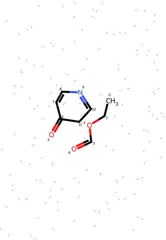 CCOC=O.O=C1C=CN=CC1